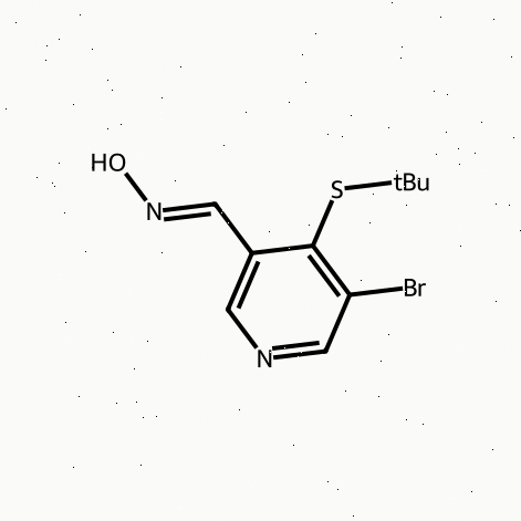 CC(C)(C)Sc1c(Br)cncc1C=NO